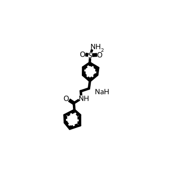 NS(=O)(=O)c1ccc(CCNC(=O)c2ccccc2)cc1.[NaH]